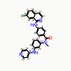 CN(C(=O)c1ccc(Nc2nccc3ccc(F)cc23)cc1)c1cccc(Nc2ccncc2)c1